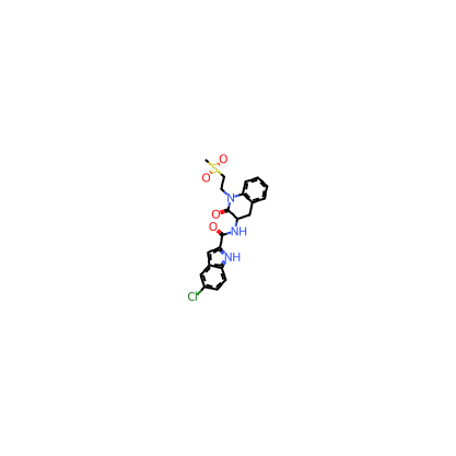 CS(=O)(=O)CCN1C(=O)C(NC(=O)c2cc3cc(Cl)ccc3[nH]2)Cc2ccccc21